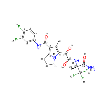 Cc1c(C(=O)Nc2ccc(F)c(F)c2)c2n(c1C(=O)C(=O)N[C@](C)(C(N)=O)C(F)(F)F)CCC2